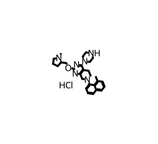 Cc1cccc2cccc(N3CCc4c(nc(OCC5CCCN5C)nc4N4CCNCC4)C3)c12.Cl